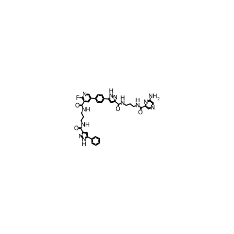 Nc1cncc(C(=O)NCCCNC(=O)c2cc(-c3ccc(-c4cnc(F)c(C(=O)NCCCNC(=O)c5cc(-c6ccccc6)[nH]n5)c4)cc3)[nH]n2)n1